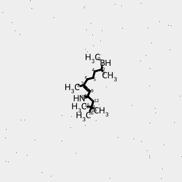 CBC(C)CCCC(C)=CC(=N)CC(C)(C)C